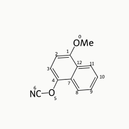 COc1ccc(OC#N)c2ccccc12